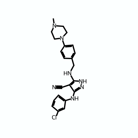 CN1CCN(c2ccc(CNc3[nH]nc(Nc4cccc(Cl)c4)c3C#N)cc2)CC1